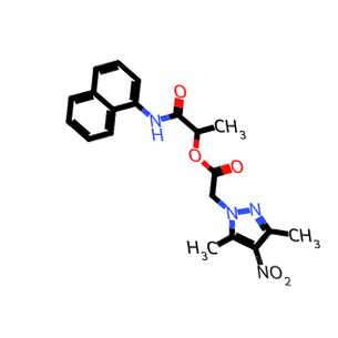 Cc1nn(CC(=O)OC(C)C(=O)Nc2cccc3ccccc23)c(C)c1[N+](=O)[O-]